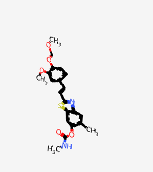 CNC(=O)Oc1cc2sc(C=Cc3ccc(OCOC)c(OC)c3)nc2cc1C